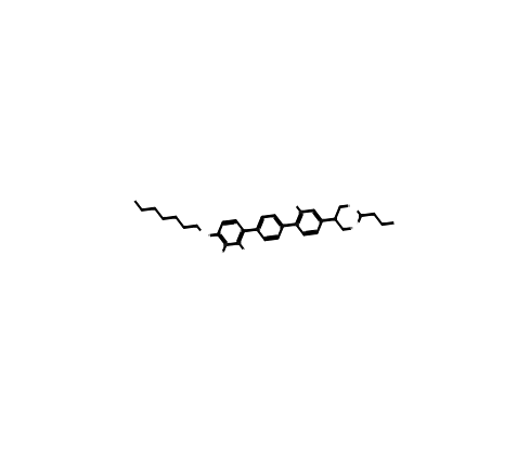 CCCCCCCOc1ccc(-c2ccc(-c3ccc(C4COC(CCC)OC4)cc3F)cc2)c(F)c1F